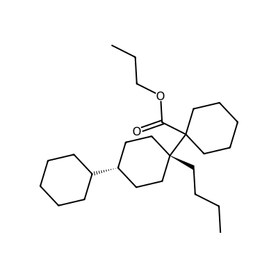 CCCC[C@]1(C2(C(=O)OCCC)CCCCC2)CC[C@@H](C2CCCCC2)CC1